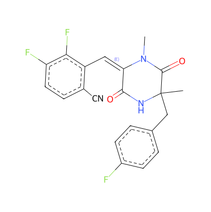 CN1C(=O)C(C)(Cc2ccc(F)cc2)NC(=O)/C1=C\c1c(C#N)ccc(F)c1F